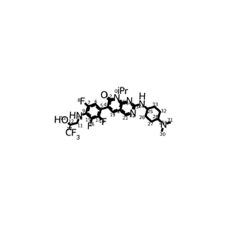 CC(C)n1c(=O)c(-c2cc(F)c(NC[C@H](O)C(F)(F)F)c(F)c2F)cc2cnc(NC3CCC(N(C)C)CC3)nc21